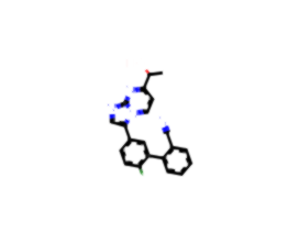 CC(O)c1ccn2c(-c3ccc(F)c(-c4ccccc4C#N)c3)cnc2n1